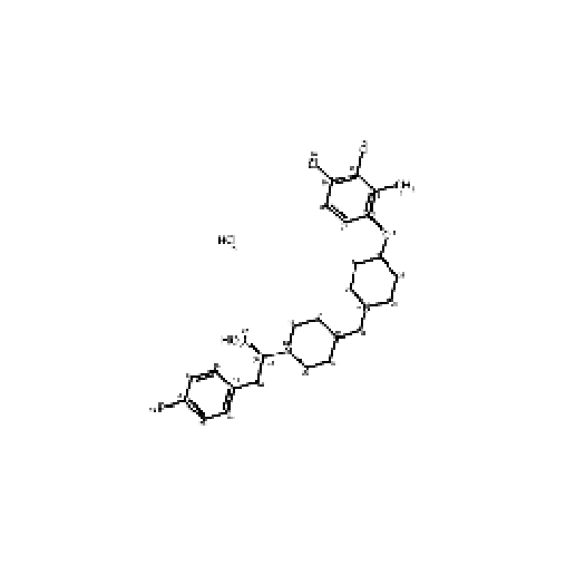 Cc1c(OC2CCN(CC3CCN([C@@H](Cc4ccc(F)cc4)C(=O)O)CC3)CC2)ccc(Cl)c1Cl.Cl